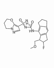 COCC1c2c(cc3c(c2NC(=O)N=S(N)(=O)c2cnn4c2OCCC4)CCC3)CC1F